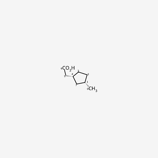 C[C@H]1CC[C@@H](CC(=O)O)C1